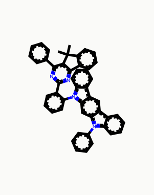 CC1(C)c2ccccc2-c2nc(-c3ccccc3-n3c4ccccc4c4cc5c6ccccc6n(-c6ccccc6)c5cc43)nc(-c3ccccc3)c21